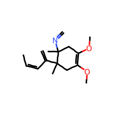 C=NC1(C)CC(OC)=C(OC)CC1(C)C(=C)/C=C\C